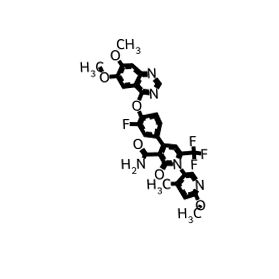 COc1cc(C)c(-n2c(C(F)(F)F)cc(-c3ccc(Oc4ncnc5cc(OC)c(OC)cc45)c(F)c3)c(C(N)=O)c2=O)cn1